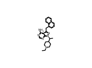 CCN1CCC(C(C)n2nc(Cc3cccc4ccccc34)c3c(N)ncnc32)CC1